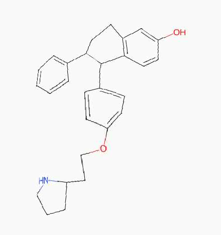 Oc1ccc2c(c1)CCC(c1ccccc1)C2c1ccc(OCCC2CCCN2)cc1